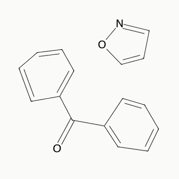 O=C(c1ccccc1)c1ccccc1.c1cnoc1